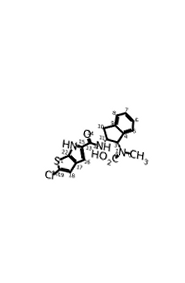 CN(C(=O)O)[C@@H]1c2ccccc2C[C@H]1NC(=O)c1cc2cc(Cl)sc2[nH]1